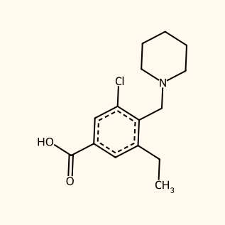 CCc1cc(C(=O)O)cc(Cl)c1CN1CCCCC1